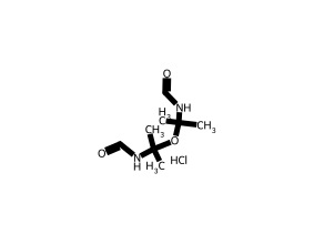 CC(C)(NC=O)OC(C)(C)NC=O.Cl